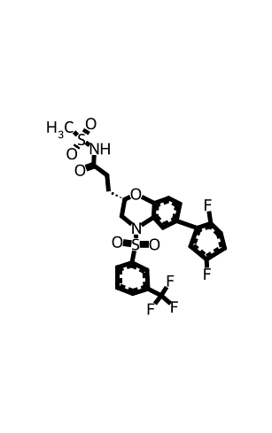 CS(=O)(=O)NC(=O)CC[C@H]1CN(S(=O)(=O)c2cccc(C(F)(F)F)c2)c2cc(-c3cc(F)ccc3F)ccc2O1